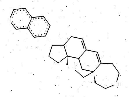 C[C@]12CC=C3C=C4CCNCC[C@]45CC[C@]3(C5)[C@@H]1CC[C@@H]2c1ccc2ccncc2c1